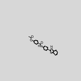 CC(=O)Oc1ccc(C(=O)Nc2ccc(-c3nc4ccccc4[nH]3)cc2)cc1